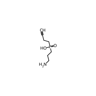 C#CCCP(=O)(O)CCCN